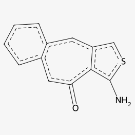 Nc1scc2cc3ccccc3cc(=O)c12